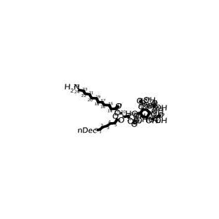 CCCCCCCCCCCCCCCC(=O)O[C@H](COC(=O)CCCCCCCCCCCN)COP(=O)(O)OC1C(O)[C@H](OP(=O)(O)O)C(OP(=O)(O)O)[C@H](OP(=O)(O)O)[C@@H]1O